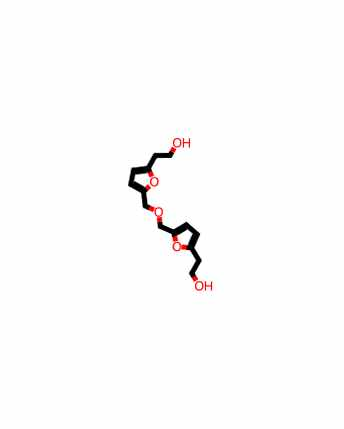 OCCc1ccc(COCc2ccc(CCO)o2)o1